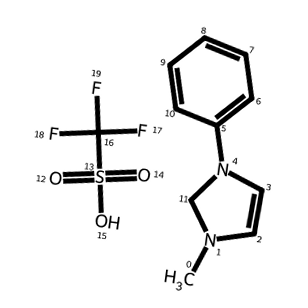 CN1C=CN(c2ccccc2)C1.O=S(=O)(O)C(F)(F)F